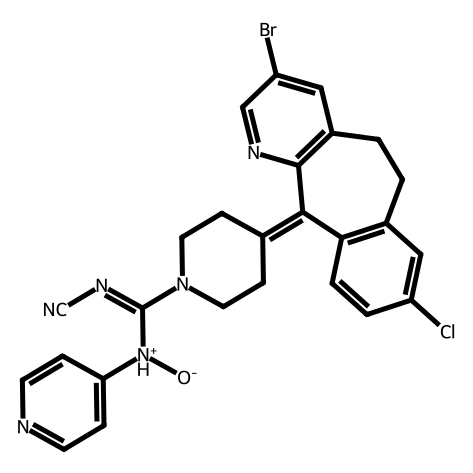 N#CN=C(N1CCC(=C2c3ccc(Cl)cc3CCc3cc(Br)cnc32)CC1)[NH+]([O-])c1ccncc1